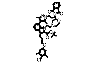 Cc1cc(OCCCc2c(C(=O)OC(C)(C)C)n(CCN3CCOCC3)c3c(-c4c(C)nn(CCCN5C(=O)c6ccccc6C5=O)c4C)cccc23)cc(C)c1Cl